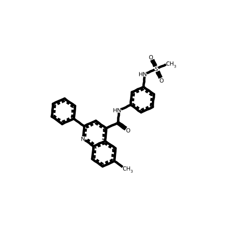 Cc1ccc2nc(-c3ccccc3)cc(C(=O)Nc3cccc(NS(C)(=O)=O)c3)c2c1